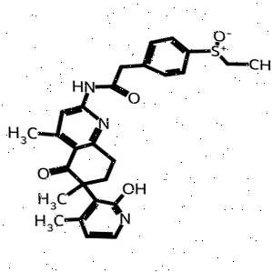 CC[S+]([O-])c1ccc(CC(=O)Nc2cc(C)c3c(n2)CCC(C)(c2c(C)ccnc2O)C3=O)cc1